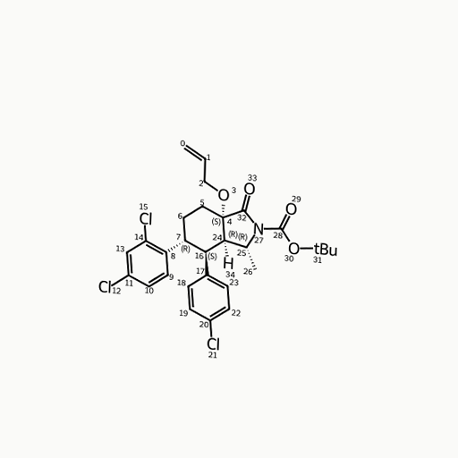 C=CCO[C@@]12CC[C@@H](c3ccc(Cl)cc3Cl)[C@H](c3ccc(Cl)cc3)[C@@H]1[C@@H](C)N(C(=O)OC(C)(C)C)C2=O